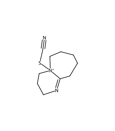 N#CS[N+]12CCCCCC1=NCCC2